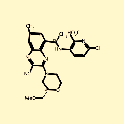 COC[C@@H]1CN(c2nc3c([C@@H](C)Nc4ccc(Cl)nc4C(=O)O)cc(C)cc3nc2C#N)CCO1